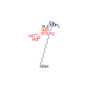 CCCCCCCCCCCCCCCCCCCCCCCC(=O)C(C[N+](C)(C)C)OP(=O)([O-])OC[C@@H](CO)OO